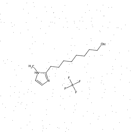 C[NH+]1C=CN=C1CCCCCCCCO.F[B-](F)(F)F